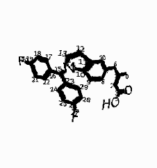 CC(=CC(=O)O)Cc1ccc2c(ccn2C(c2ccc(F)cc2)c2ccc(F)cc2)c1